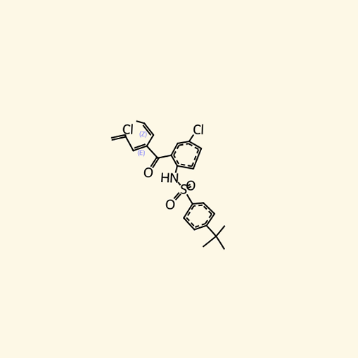 C=C(Cl)/C=C(\C=C/C)C(=O)c1cc(Cl)ccc1NS(=O)(=O)c1ccc(C(C)(C)C)cc1